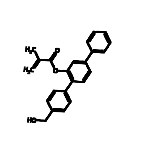 C=C(C)C(=O)Oc1cc(-c2ccccc2)ccc1-c1ccc(CO)cc1